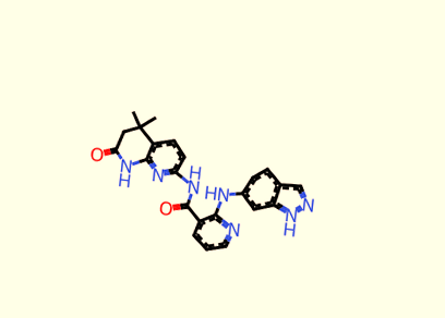 CC1(C)CC(=O)Nc2nc(NC(=O)c3cccnc3Nc3ccc4cn[nH]c4c3)ccc21